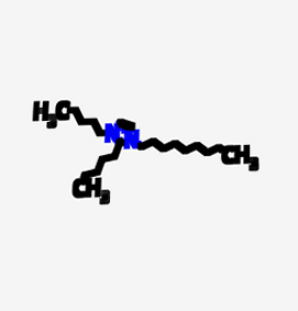 CCCCCCCCCn1cc[n+](CCCCC)c1CCCCC